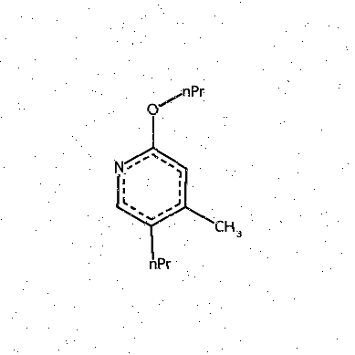 [CH2]CCc1cnc(OCCC)cc1C